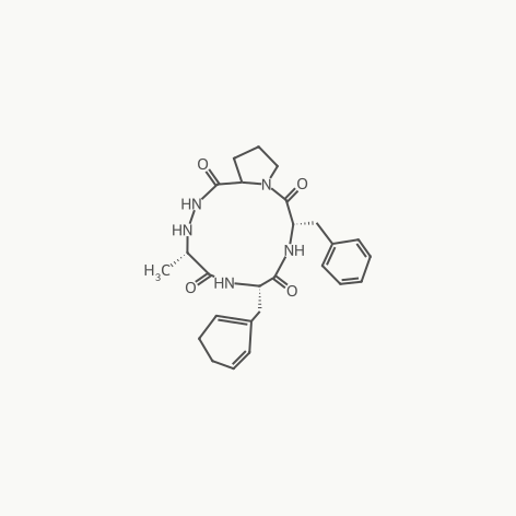 C[C@@H]1NNC(=O)C2CCCN2C(=O)[C@H](Cc2ccccc2)NC(=O)[C@H](CC2=CCCC=C2)NC1=O